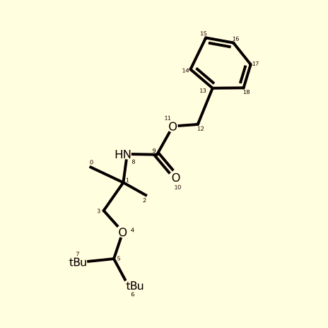 CC(C)(COC(C(C)(C)C)C(C)(C)C)NC(=O)OCc1ccccc1